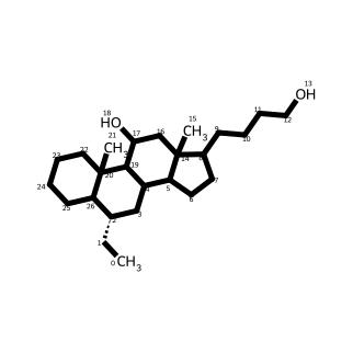 CC[C@H]1CC2C3CCC(CCCCO)C3(C)CC(O)C2C2(C)CCCCC12